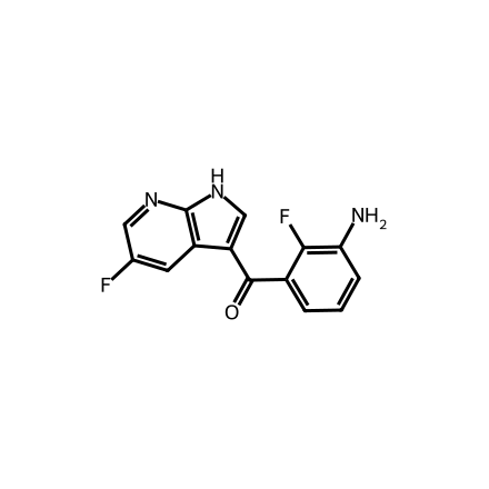 Nc1cccc(C(=O)c2c[nH]c3ncc(F)cc23)c1F